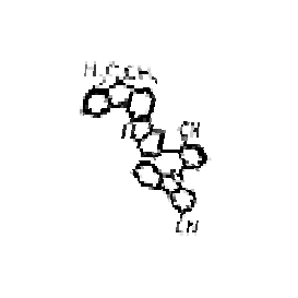 CC1(C)c2ccccc2-c2c1ccc1c2OC2C=CC(c3c(C#N)c#ccc3-n3c4ccccc4c4cc(C#N)ccc43)=CC12